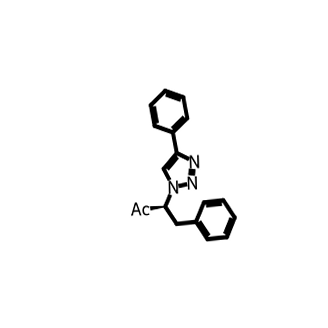 CC(=O)[C@H](Cc1ccccc1)n1cc(-c2ccccc2)nn1